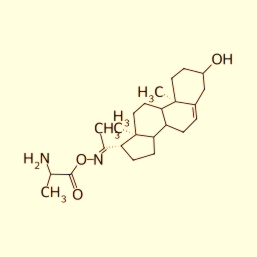 C/C(=N\OC(=O)C(C)N)[C@H]1CCC2C3CC=C4CC(O)CC[C@]4(C)C3CC[C@@]21C